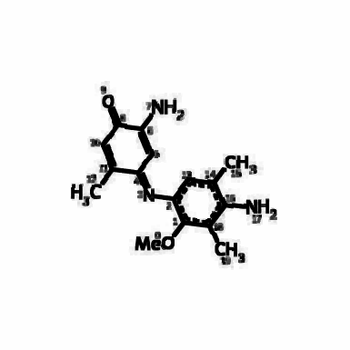 COc1c(N=C2C=C(N)C(=O)C=C2C)cc(C)c(N)c1C